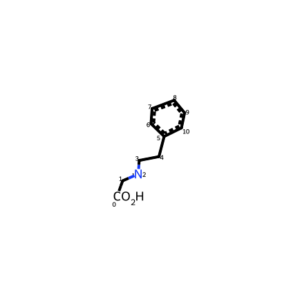 O=C(O)C[N]CCc1ccccc1